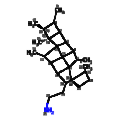 CC1C2C3C4C(C)C56C(C7C(C)C3(C745)[C@@]2(C)[C@H]1C)C(CCN)[C@]61CCC1C